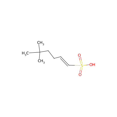 CC(C)(C)CCC=CS(=O)(=O)O